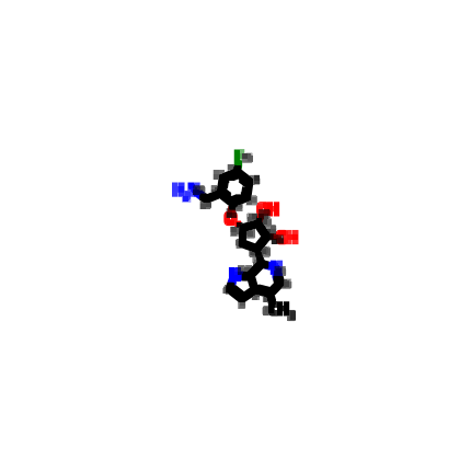 CC1=C2C=CN=C2C([C@H]2C[C@H](Oc3ccc(F)cc3CN)[C@@H](O)[C@H]2O)N=C1